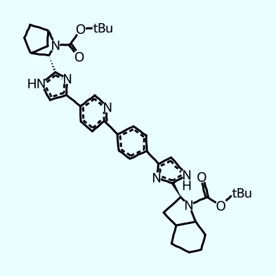 CC(C)(C)OC(=O)N1C2CCC(C2)[C@H]1c1nc(-c2ccc(-c3ccc(-c4c[nH]c([C@@H]5CC6CCCCC6N5C(=O)OC(C)(C)C)n4)cc3)nc2)c[nH]1